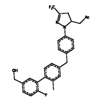 CC(=O)CC1CC(C(F)(F)F)=NN1c1ccc(Cc2ccc(-c3cc(CO)ccc3F)c(C)c2)cc1